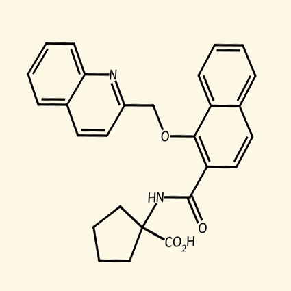 O=C(NC1(C(=O)O)CCCC1)c1ccc2ccccc2c1OCc1ccc2ccccc2n1